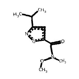 CON(C)C(=O)c1cc(C(C)C)no1